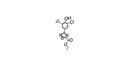 CCOC(=O)c1nc(-c2cc(Cl)c(O)c(C3CC3)c2)no1